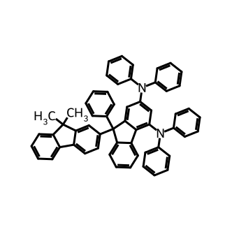 CC1(C)c2ccccc2-c2ccc(C3(c4ccccc4)c4ccccc4-c4c(N(c5ccccc5)c5ccccc5)cc(N(c5ccccc5)c5ccccc5)cc43)cc21